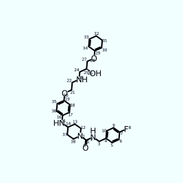 O=C(NCc1ccc(F)cc1)N1CCC(Nc2ccc(OCCNC[C@H](O)COC3=CCCC=C3)cc2)CC1